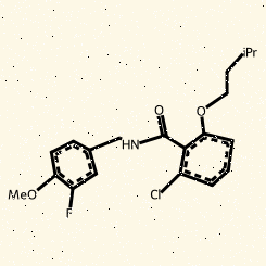 COc1ccc(CNC(=O)c2c(Cl)cccc2OCCC(C)C)cc1F